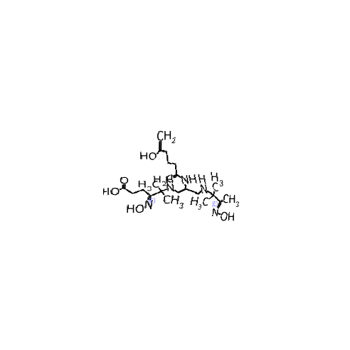 C=C(O)CCCC(=C)NC(CNC(C)(C)/C(C)=N/O)CNC(C)(C)/C(CCC(=O)O)=N/O